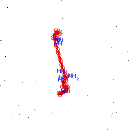 CC[C@@]1(OC(=O)OCc2ccc(NC(=O)[C@H](CCCCN)NC(=O)COCC(=O)NCCOCCOCCOCCOCCOCCOCCOCCOCCN/C=C(/CNC(=O)C3CCC(CN4C(=O)C(Br)=C(Br)C4=O)CC3)N=N)cc2)C(=O)OCc2c1cc1n(c2=O)Cc2cc3cc4c(cc3nc2-1)OCO4